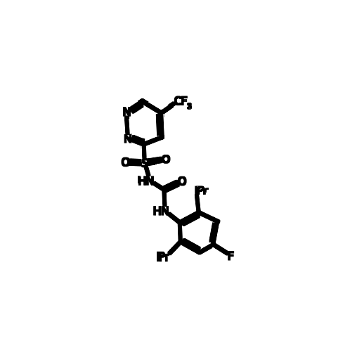 CC(C)c1cc(F)cc(C(C)C)c1NC(=O)NS(=O)(=O)c1cc(C(F)(F)F)cnn1